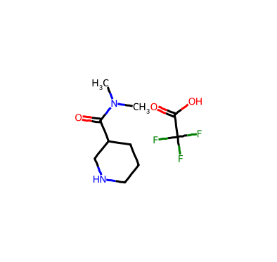 CN(C)C(=O)C1CCCNC1.O=C(O)C(F)(F)F